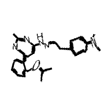 Cc1nc(NN=CCc2ccc(N(C)C)cc2)cc(-c2ccccc2OC(C)C)n1